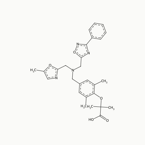 Cc1cnc(CN(Cc2cc(C)c(OC(C)(C)C(=O)O)c(C)c2)Cc2nc(-c3ccccc3)no2)o1